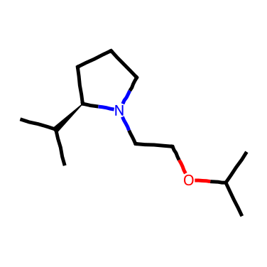 CC(C)OCCN1CCC[C@@H]1C(C)C